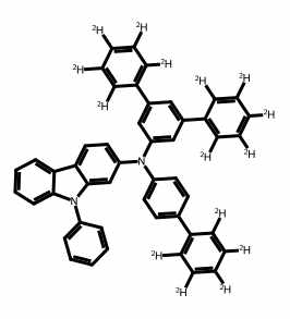 [2H]c1c([2H])c([2H])c(-c2ccc(N(c3cc(-c4c([2H])c([2H])c([2H])c([2H])c4[2H])cc(-c4c([2H])c([2H])c([2H])c([2H])c4[2H])c3)c3ccc4c5ccccc5n(-c5ccccc5)c4c3)cc2)c([2H])c1[2H]